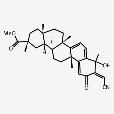 COC(=O)[C@]1(C)CC[C@]2(C)CC[C@]3(C)C4=CC=C5C(=CC(=O)/C(=C\C#N)C5(C)O)[C@]4(C)CC[C@@]3(C)[C@@H]2C1